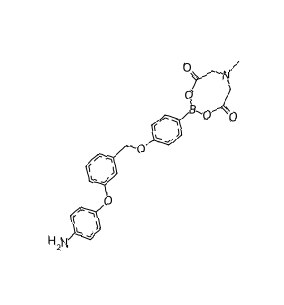 CN1CC(=O)OB(c2ccc(OCc3cccc(Oc4ccc(N)cc4)c3)cc2)OC(=O)C1